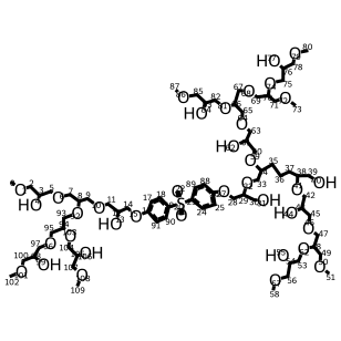 COCC(O)COCC(COCC(O)COc1ccc(S(=O)(=O)c2ccc(OCC(CO)OCC(CCCC(CO)OCC(O)COCC(COC)OCC(O)COC)OCC(O)COCC(COCC(COC)OCC(O)COC)OCC(O)COC)cc2)cc1)OCC(COCC(O)COC)OCC(O)COC